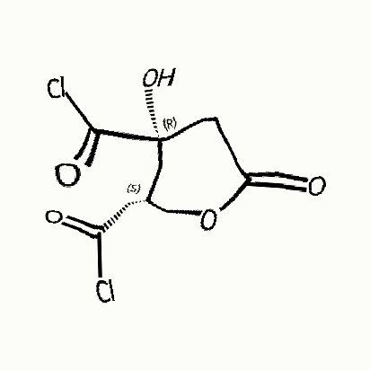 O=C1C[C@](O)(C(=O)Cl)[C@@H](C(=O)Cl)O1